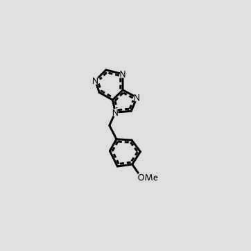 COc1ccc(Cn2cnc3ncncc32)cc1